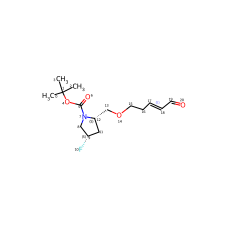 CC(C)(C)OC(=O)N1C[C@@H](F)C[C@H]1COCC/C=C/C=O